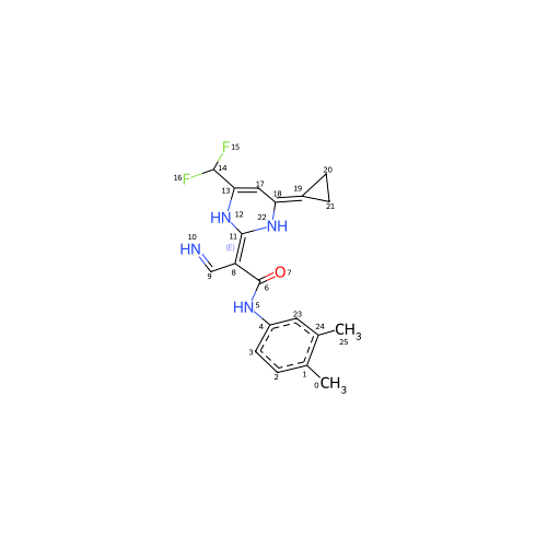 Cc1ccc(NC(=O)/C(C=N)=C2/NC(C(F)F)=CC(=C3CC3)N2)cc1C